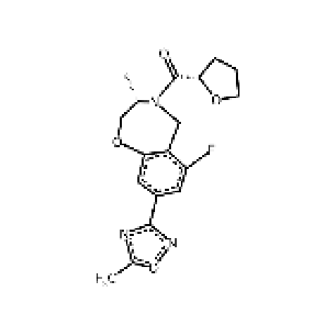 C[C@H]1COc2cc(-c3noc(C(F)(F)F)n3)cc(F)c2CN1C(=O)[C@@H]1CCCO1